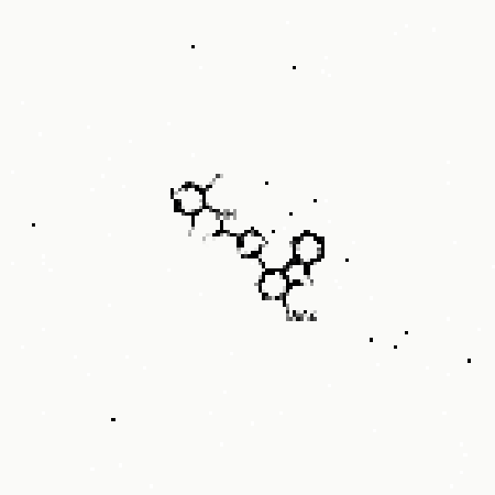 COc1ccc(-c2nc(C(=O)Nc3c(Cl)cncc3Cl)cs2)c2c1oc1ccccc12